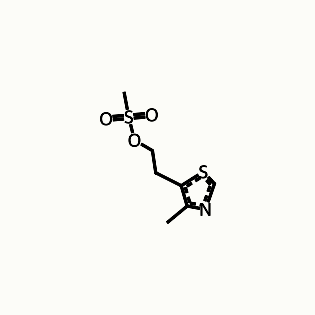 Cc1ncsc1CCOS(C)(=O)=O